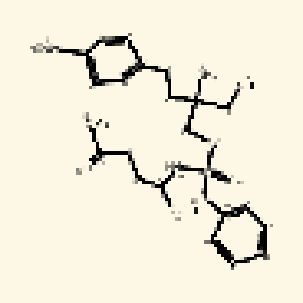 CCCCCCCCc1ccc(CCC(N)(CO)COP(=O)(NC(CCC(=O)OC)C(=O)O)Oc2ccccc2)cc1